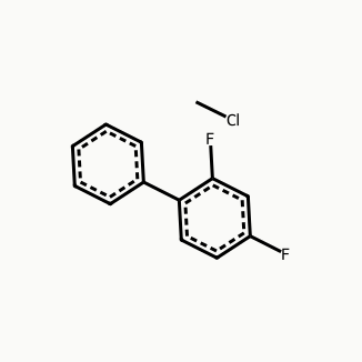 CCl.Fc1ccc(-c2ccccc2)c(F)c1